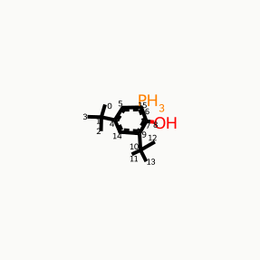 CC(C)(C)c1ccc(O)c(C(C)(C)C)c1.P